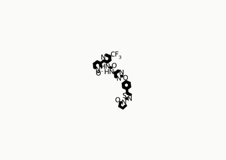 O=C(Nc1cnc(Oc2ccc(-c3cnc(N4CCCC4=O)s3)cc2)nc1)Nc1cc(C(F)(F)F)cnc1-c1ccc[n+]([O-])c1